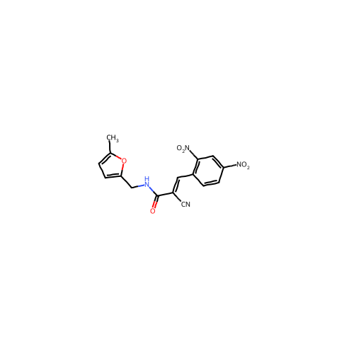 Cc1ccc(CNC(=O)/C(C#N)=C/c2ccc([N+](=O)[O-])cc2[N+](=O)[O-])o1